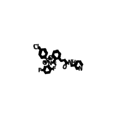 C[C@H](c1ccccc1CCC(=O)NCc1cccnc1)N(c1cc(F)ccc1F)S(=O)(=O)c1ccc(Cl)cc1